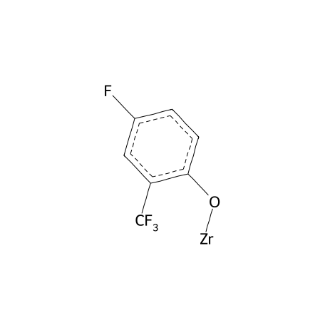 Fc1ccc([O][Zr])c(C(F)(F)F)c1